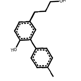 Cc1ccc(-c2cc(CCCO)ccc2O)cc1